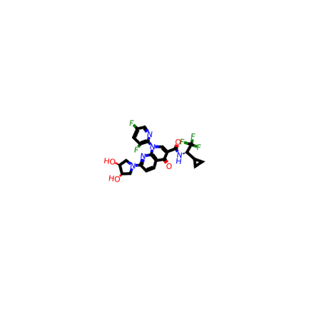 O=C(N[C@@H](C1CC1)C(F)(F)F)c1cn(-c2ncc(F)cc2F)c2nc(N3C[C@@H](O)[C@@H](O)C3)ccc2c1=O